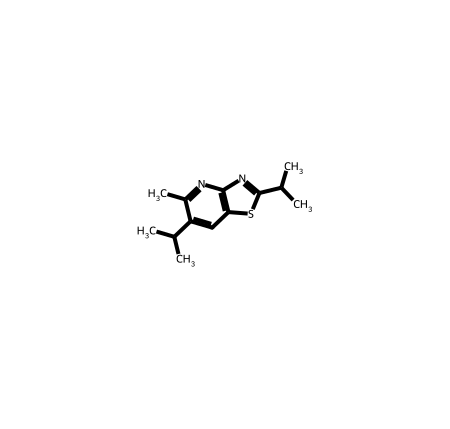 Cc1nc2nc(C(C)C)sc2cc1C(C)C